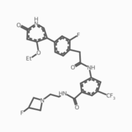 CCOc1cc(=O)[nH]cc1-c1ccc(CC(=O)Nc2cc(C(=O)NCCN3CC(F)C3)cc(C(F)(F)F)c2)c(F)c1